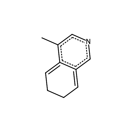 Cc1cncc2c1=CCCC=2